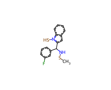 CSNC(c1cccc(F)c1)c1cc2ccccc2n1S